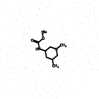 CC1CC(NC(=O)OC(C)(C)C)CN(C)C1